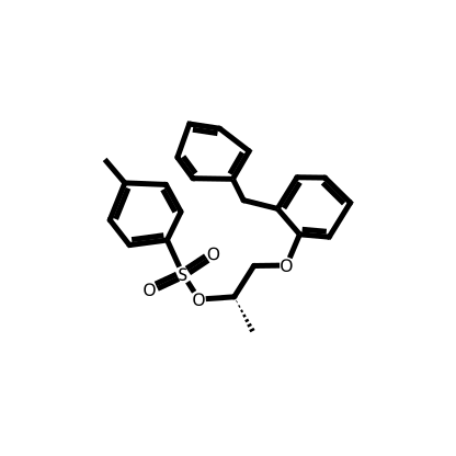 Cc1ccc(S(=O)(=O)O[C@@H](C)COc2ccccc2Cc2ccccc2)cc1